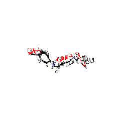 C[C@H](/C=C/c1ccc(CO)cc1)[C@@H](O)C/C=C/C(=O)OC(C)(C)C